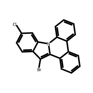 Clc1ccc2c(Br)c3c4ccccc4c4ccccc4n3c2c1